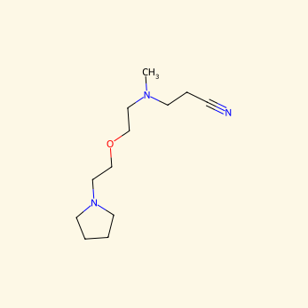 CN(CCC#N)CCOCCN1CCCC1